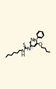 CCCCCCNC(=S)/N=c1\cnn(-c2ccccc2)c(OCCCC)c1